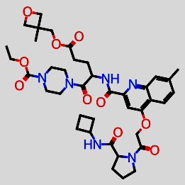 CCOC(=O)N1CCN(C(=O)C(CCC(=O)OCC2(C)COC2)NC(=O)c2cc(OCC(=O)N3CCCC3C(=O)NC3CCC3)c3ccc(C)cc3n2)CC1